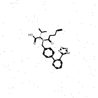 C=CCCC(=O)N(Cc1ccc(-c2ccccc2-c2nnn[nH]2)cc1)[C@H](C(=O)O)C(C)C